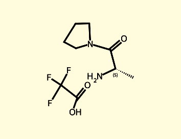 C[C@H](N)C(=O)N1CCCC1.O=C(O)C(F)(F)F